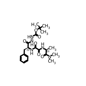 C[C@H](NC(=O)C(=O)N[C@@H](Cc1ccccc1)C(=O)NNC(=O)OC(C)(C)C)C(=O)N(C)C